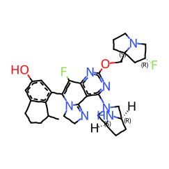 CC1CCCc2cc(O)cc(C3=C(F)c4nc(OC[C@@]56CCCN5C[C@H](F)C6)nc(N5C[C@H]6CC[C@@H](C5)N6)c4C4=NCCN43)c21